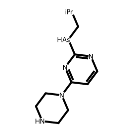 CC(C)C[AsH]c1nccc(N2CCNCC2)n1